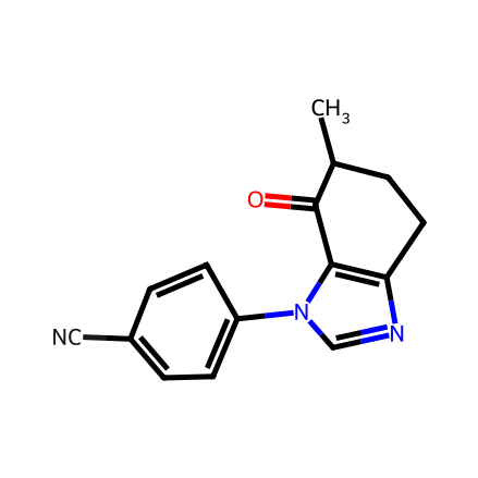 CC1CCc2ncn(-c3ccc(C#N)cc3)c2C1=O